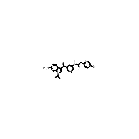 CC(C)n1cc(C(=O)c2cncc(NC(=O)Cc3ccc(Br)cn3)c2)c2cnc(N)nc21